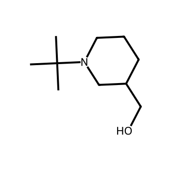 CC(C)(C)N1CCCC(CO)C1